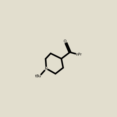 CCCC(=O)C1CCN(C(C)(C)C)CC1